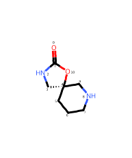 O=C1NC[C@]2(CCCNC2)O1